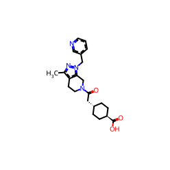 Cc1nn(Cc2cccnc2)c2c1CCN(C(=O)C[C@H]1CC[C@H](C(=O)O)CC1)C2